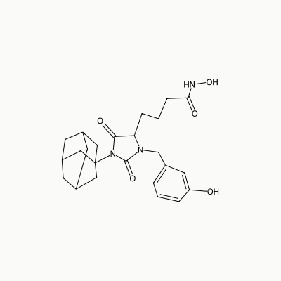 O=C(CCCC1C(=O)N(C23CC4CC(CC(C4)C2)C3)C(=O)N1Cc1cccc(O)c1)NO